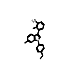 CCc1ccc(-n2cc(-c3cccc(N)c3C)c3ccc(C)cc32)cc1